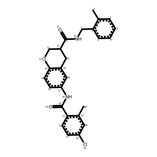 Cc1ccccc1CNC(=O)C1COc2ccc(NC(=O)c3ccc(Cl)cc3C)cc2C1